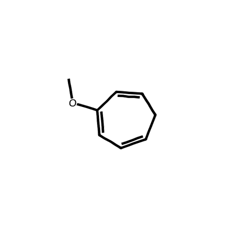 COC1=CC=CCC=C1